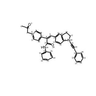 CC(=O)C[n+]1ccc(/C(=C/c2ccc3c(c2)CCN3C#Cc2ccccc2)C(=O)Nc2ccccc2)cc1